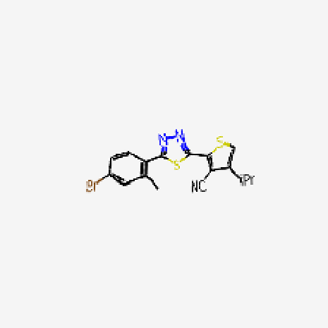 Cc1cc(Br)ccc1-c1nnc(-c2scc(C(C)C)c2C#N)s1